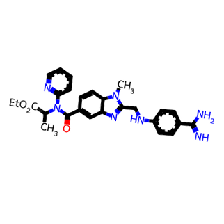 CCOC(=O)C(C)N(C(=O)C1=CC2N=C(CNc3ccc(C(=N)N)cc3)N(C)C2C=C1)c1ccccn1